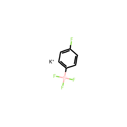 Fc1ccc([B-](F)(F)F)cc1.[K+]